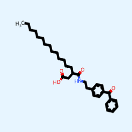 CCCCCCCCCCCCCCC(CC(=O)O)C(=O)NCCc1ccc(C(=O)c2ccccc2)cc1